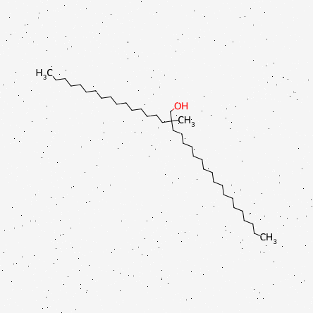 CCCCCCCCCCCCCCCCCCC(C)(CO)CCCCCCCCCCCCCCCC